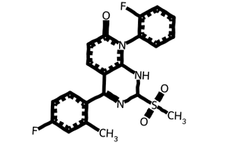 Cc1cc(F)ccc1C1=NC(S(C)(=O)=O)Nc2c1ccc(=O)n2-c1ccccc1F